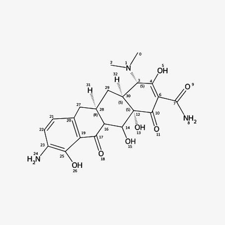 CN(C)[C@@H]1C(O)=C(C(N)=O)C(=O)[C@@]2(O)C(O)C3C(=O)c4c(ccc(N)c4O)C[C@H]3C[C@@H]12